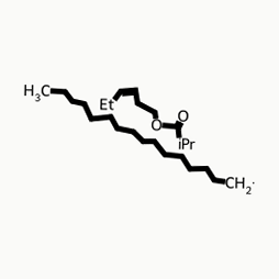 CC/C=C\CCOC(=O)C(C)C.[CH2]CCCCCCCCCCCCCCC